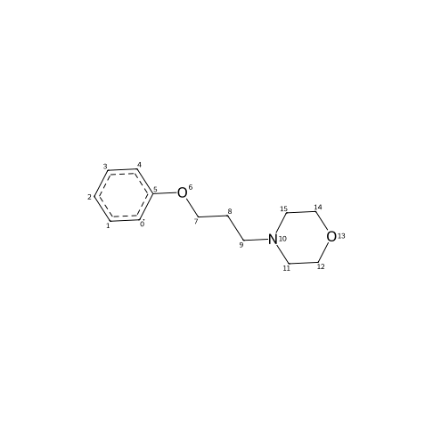 [c]1ccccc1OCCCN1CCOCC1